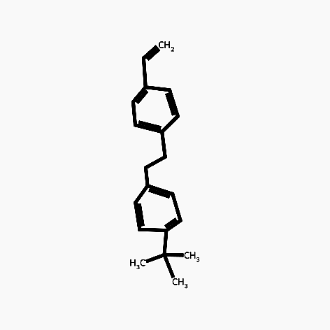 C=Cc1ccc(CCc2ccc(C(C)(C)C)cc2)cc1